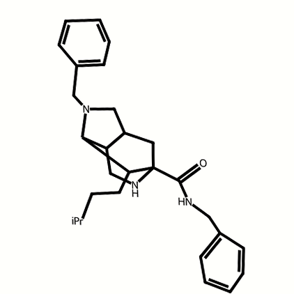 CC(C)CCC1C2C3CNC1(C(=O)NCc1ccccc1)CC3CN2Cc1ccccc1